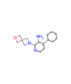 Nc1c(-c2ccccc2)ccnc1N1CC2(COC2)C1